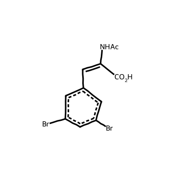 CC(=O)N/C(=C/c1cc(Br)cc(Br)c1)C(=O)O